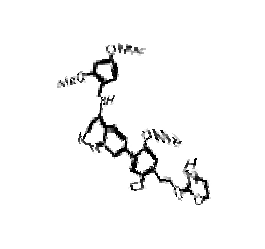 COc1ccc(CNc2cnnc3cc(-c4cc(Cl)c(CCOC5NCCO5)cc4OC)ccc23)c(OC)c1